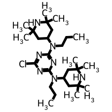 CCCN(c1nc(Cl)nc(N(CCC)C2CC(C)(C)NC(C)(C)C2)n1)C1CC(C)(C)NC(C)(C)C1